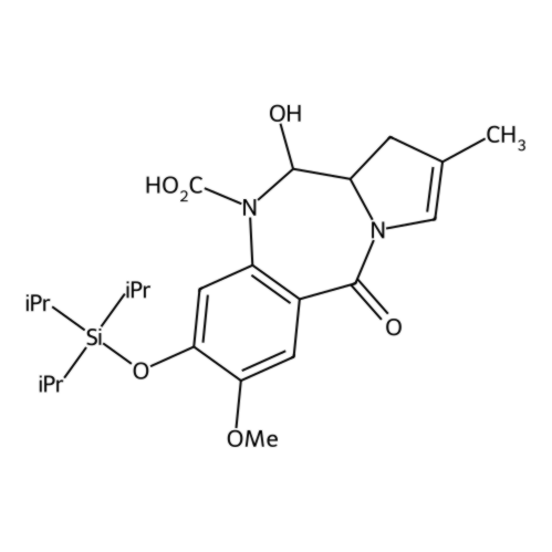 COc1cc2c(cc1O[Si](C(C)C)(C(C)C)C(C)C)N(C(=O)O)C(O)C1CC(C)=CN1C2=O